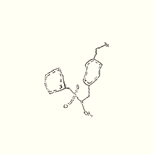 CN(Cc1ccc(CBr)cc1)S(=O)(=O)c1ccccc1